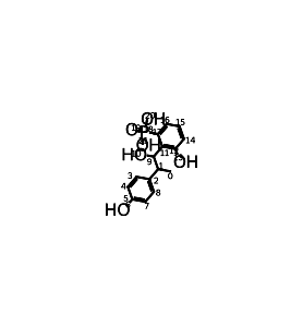 CC(c1ccc(O)cc1)C(O)c1c(O)cccc1P(=O)(O)O